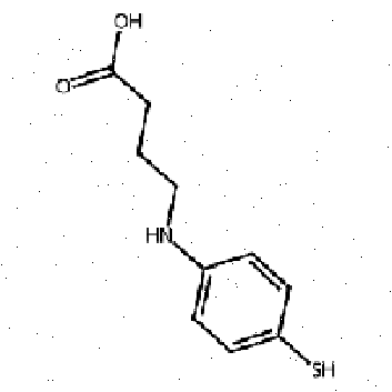 O=C(O)CCCNc1ccc(S)cc1